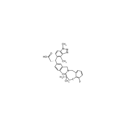 Cc1ccc([C@H](CC(=O)O)c2ccc3c(nnn3C)c2C)cc1CN1Cc2cccc(F)c2CCC(C)(C)C1